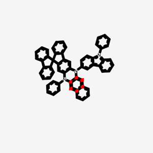 c1ccc(N(c2ccccc2)c2cc3c(cc2N(c2ccc4ccccc4c2)c2ccc4c(c2)c2ccccc2n4-c2ccccc2)-c2ccccc2C32c3ccccc3-c3ccccc32)cc1